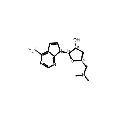 CN(C)C[C@@H]1C[C@@H](O)[C@H](n2ccc3c(N)ncnc32)O1